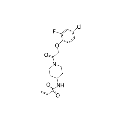 C=CS(=O)(=O)NC1CCN(C(=O)COc2ccc(Cl)cc2F)CC1